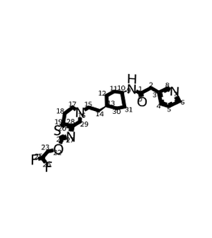 O=C(Cc1cccnc1)N[C@H]1CC[C@H](CCN2CCc3sc(OCC(F)F)nc3C2)CC1